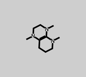 CN1CCN(C)C2=C1CCCN2C